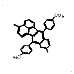 COc1ccc(-c2c3c(c(-c4ccc(OC)cc4)c4cc(C)ccc24)-c2ccc(C)c4cccc-3c24)cc1